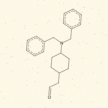 O=CCC1CCC(N(Cc2ccccc2)Cc2ccccc2)CC1